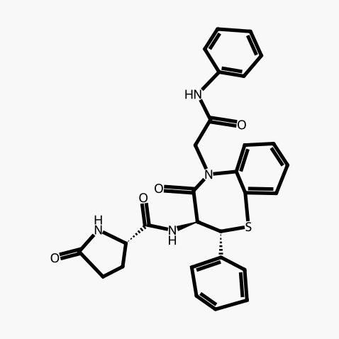 O=C(CN1C(=O)[C@H](NC(=O)[C@@H]2CCC(=O)N2)[C@@H](c2ccccc2)Sc2ccccc21)Nc1ccccc1